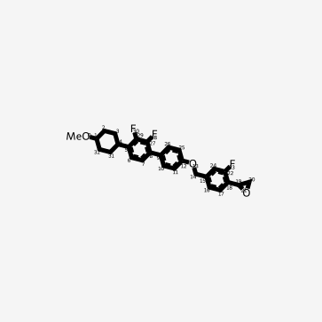 COC1CCC(c2ccc(-c3ccc(OCc4ccc(C5CO5)c(F)c4)cc3)c(F)c2F)CC1